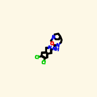 Clc1cc2cnc(N/C3=N/CCC4CCN(CC4)CO3)cc2cc1Cl